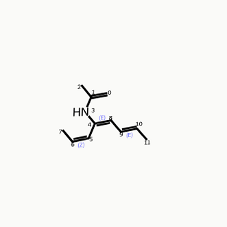 C=C(C)NC(/C=C\C)=C/C=C/C